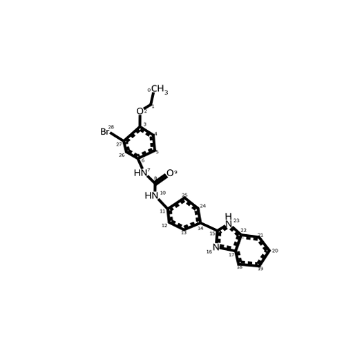 CCOc1ccc(NC(=O)Nc2ccc(-c3nc4ccccc4[nH]3)cc2)cc1Br